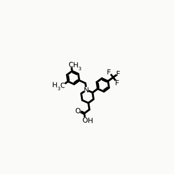 Cc1cc(C)cc(CN2CCC(CC(=O)O)CC2c2ccc(C(F)(F)F)cc2)c1